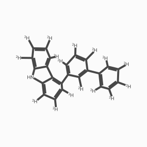 [2H]c1c([2H])c([2H])c(-c2c([2H])c([2H])c([2H])c(-c3c([2H])c([2H])c([2H])c4[nH]c5c([2H])c([2H])c([2H])c([2H])c5c34)c2[2H])c([2H])c1[2H]